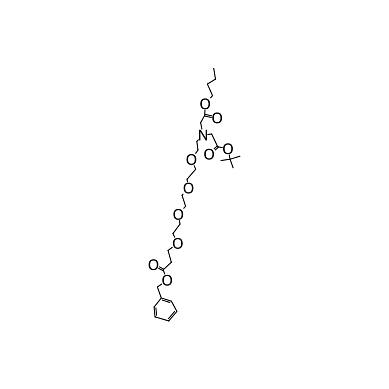 CCCCOC(=O)CN(CCOCCOCCOCCOCCC(=O)OCc1ccccc1)CC(=O)OC(C)(C)C